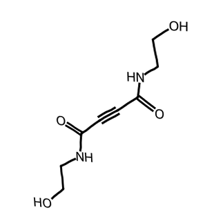 O=C(C#CC(=O)NCCO)NCCO